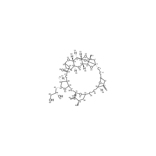 C=C1CC2CC[C@@]34C[C@@]5(C)O[C@H]6[C@@H](O3)[C@H]3OC(CC[C@@H]3O[C@H]6C5O4)CC(=O)C[C@H]3C(C[C@H]4OC(CC[C@H]1O2)C[C@@H](C)C4=C)O[C@H](C[C@H](O)CO)[C@@H]3C